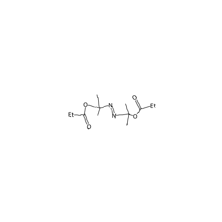 CCC(=O)OC(C)(C)N=NC(C)(C)OC(=O)CC